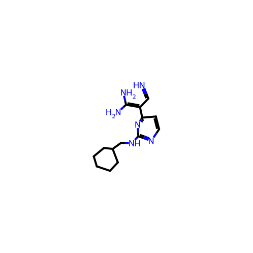 N=CC(=C(N)N)c1ccnc(NCC2CCCCC2)n1